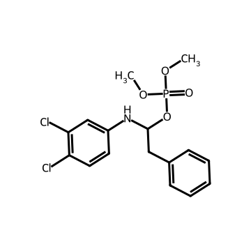 COP(=O)(OC)OC(Cc1ccccc1)Nc1ccc(Cl)c(Cl)c1